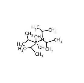 CC(C)N(C(C)C)P(O)(O)(C(C)C)C(C)C